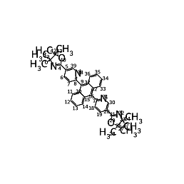 CC1(C)N=C(c2ccc(-c3c4ccccc4c(-c4ccc(C5=NC(C)(C)C(C)(C)O5)cn4)c4ccccc34)nc2)OC1(C)C